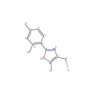 Cc1ccc(-c2nc(CI)c(C)o2)c(C)c1